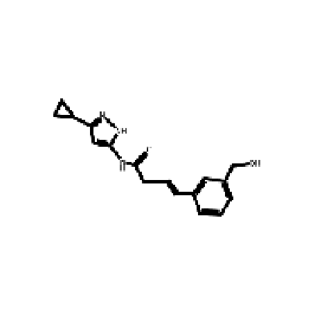 O=C(CC=Cc1cccc(CO)c1)Nc1cc(C2CC2)n[nH]1